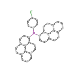 Fc1ccc(P(c2ccc3ccc4cccc5ccc2c3c45)c2ccc3ccc4cccc5ccc2c3c45)cc1